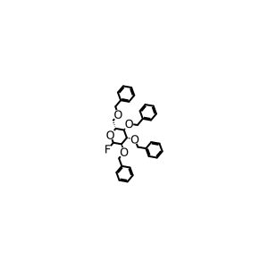 FC1O[C@H](COCc2ccccc2)[C@H](OCc2ccccc2)[C@H](OCc2ccccc2)[C@H]1OCc1ccccc1